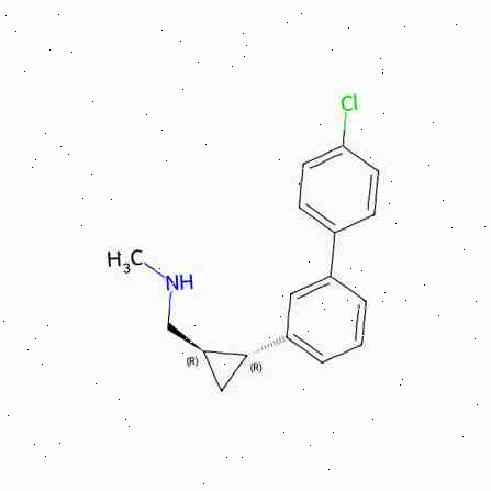 CNC[C@@H]1C[C@H]1c1cccc(-c2ccc(Cl)cc2)c1